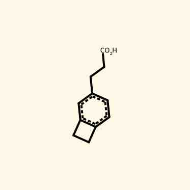 O=C(O)CCc1ccc2c(c1)CC2